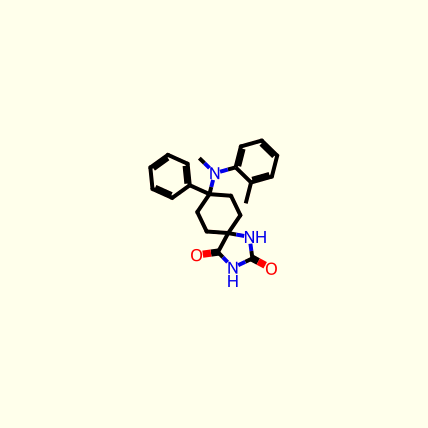 Cc1ccccc1N(C)C1(c2ccccc2)CCC2(CC1)NC(=O)NC2=O